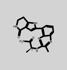 Cc1nc2cccc(-c3cc4c([nH]3)CCNC4=O)c2nc1N[C@@H](C)C(N)=O